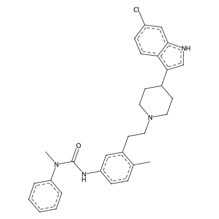 Cc1ccc(NC(=O)N(C)c2ccccc2)cc1CCN1CCC(c2c[nH]c3cc(Cl)ccc23)CC1